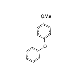 [CH2]Oc1ccc(Oc2ccccc2)cc1